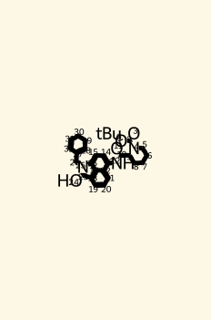 CC(C)(C)OC(=O)N1CCCCC1C(=O)Nc1ccc2c3c(cccc13)C(O)N2CC1=CCCC=C1